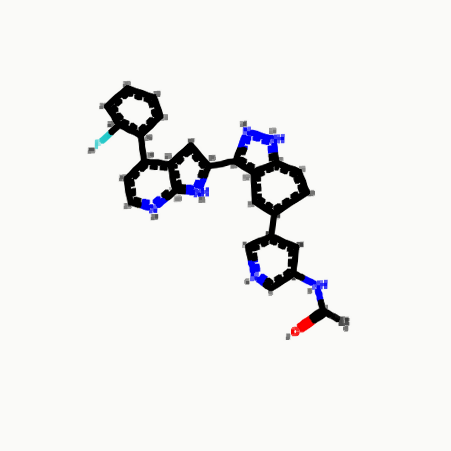 CCC(=O)Nc1cncc(-c2ccc3[nH]nc(-c4cc5c(-c6ccccc6F)ccnc5[nH]4)c3c2)c1